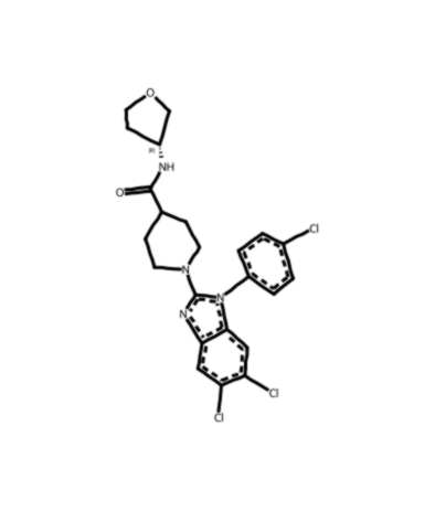 O=C(N[C@@H]1CCOC1)C1CCN(c2nc3cc(Cl)c(Cl)cc3n2-c2ccc(Cl)cc2)CC1